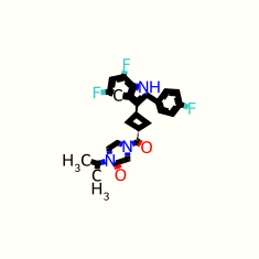 CC(C)N1CCN(C(=O)[C@H]2C[C@H](c3c(-c4ccc(F)cc4)[nH]c4c(F)cc(F)cc43)C2)CC1=O